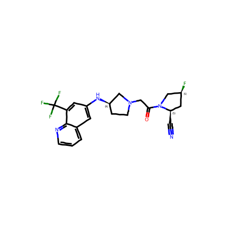 N#C[C@@H]1C[C@H](F)CN1C(=O)CN1CC[C@@H](Nc2cc(C(F)(F)F)c3ncccc3c2)C1